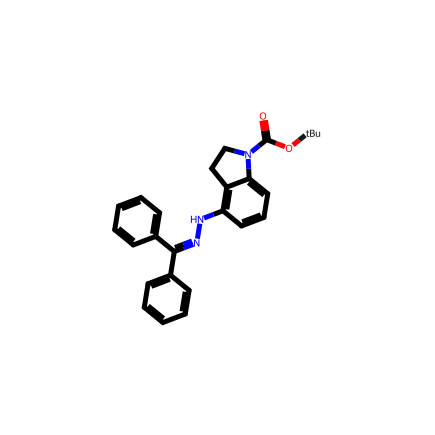 CC(C)(C)OC(=O)N1CCc2c(NN=C(c3ccccc3)c3ccccc3)cccc21